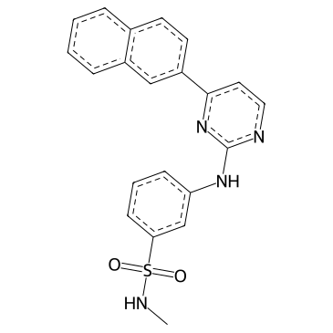 CNS(=O)(=O)c1cccc(Nc2nccc(-c3ccc4ccccc4c3)n2)c1